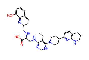 CCC1=C(N2CCC(c3ccc4c(n3)NCCC4)CC2)NCN=C1NC[C@H](NCC1CC=c2cccc(O)c2=N1)C(=O)O